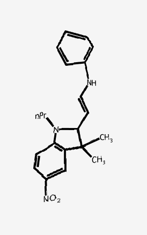 CCCN1c2ccc([N+](=O)[O-])cc2C(C)(C)C1/C=C/Nc1ccccc1